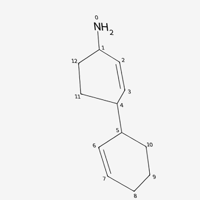 NC1C=CC(C2C=CCCC2)CC1